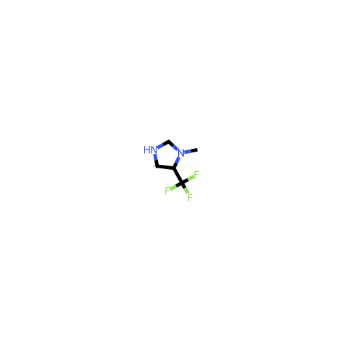 CN1CN[CH]C1C(F)(F)F